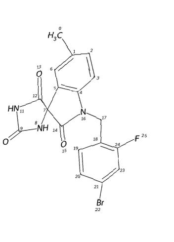 Cc1ccc2c(c1)C1(NC(=O)NC1=O)C(=O)N2Cc1ccc(Br)cc1F